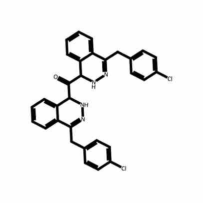 O=C(C1NN=C(Cc2ccc(Cl)cc2)c2ccccc21)C1NN=C(Cc2ccc(Cl)cc2)c2ccccc21